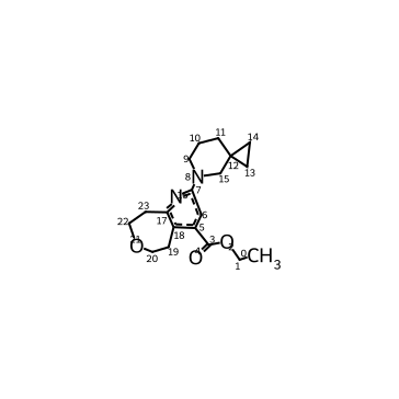 CCOC(=O)c1cc(N2CCCC3(CC3)C2)nc2c1CCOCC2